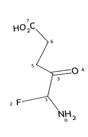 NC(F)C(=O)CCC(=O)O